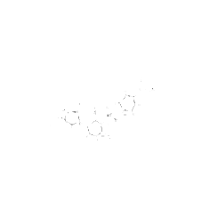 Cc1nn(C)cc1-c1ccc(F)c2c1CC[C@H]2Oc1ccc(C2CC2C(=O)O)cc1